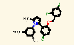 Cc1ccc(-c2cc(Cl)ccc2OCc2ccc(F)cc2F)n1-c1cc(C(=O)O)cc(C(F)(F)F)c1